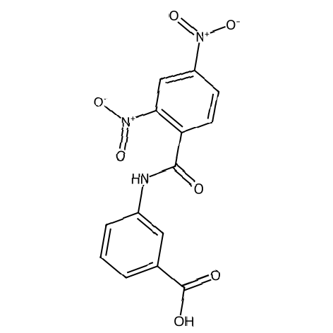 O=C(O)c1cccc(NC(=O)c2ccc([N+](=O)[O-])cc2[N+](=O)[O-])c1